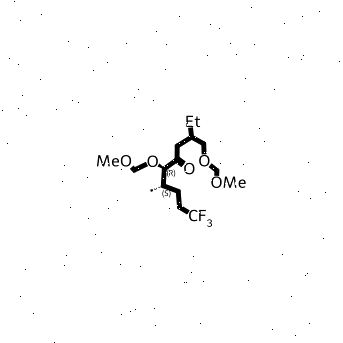 CCC(COCOC)CC(=O)[C@H](OCOC)[C@@H](C)CCC(F)(F)F